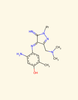 Cc1cc(N=C2C(=N)N(C(C)C)N=C2CN(C)C)c(N)cc1O